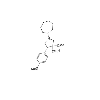 COc1ccc([C@@H]2CN(C3CCCCCC3)C[C@@]2(OC)C(=O)O)cc1